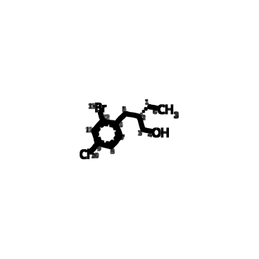 CC[C@H](CO)Cc1ccc(Cl)cc1Br